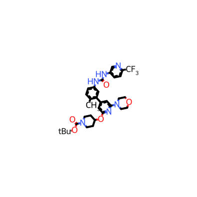 Cc1ccc(NC(=O)Nc2ccc(C(F)(F)F)nc2)cc1-c1cc(OC2CCN(C(=O)OC(C)(C)C)CC2)nc(N2CCOCC2)c1